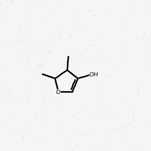 CC1OC=C(O)C1C